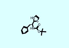 CC(C)(C)OC(=O)N[C@@H](Cc1ccccc1)C1NC=CS1